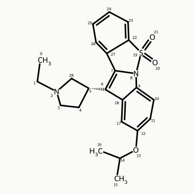 CCN1CC[C@@H](c2c3n(c4ccc(OC(C)C)cc24)S(=O)(=O)c2ccccc2-3)C1